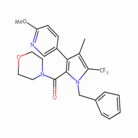 COc1ccc(-c2c(C)c(C(F)(F)F)n(Cc3ccccc3)c2C(=O)N2CCOCC2)cn1